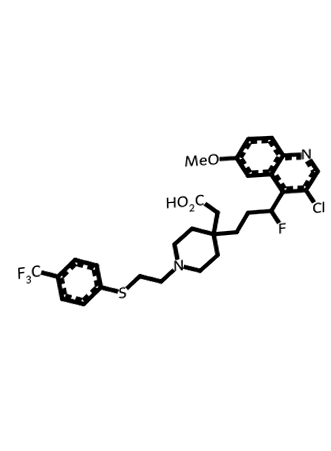 COc1ccc2ncc(Cl)c(C(F)CCC3(CC(=O)O)CCN(CCSc4ccc(C(F)(F)F)cc4)CC3)c2c1